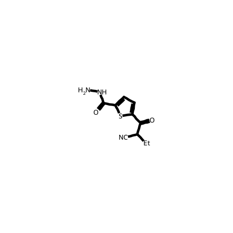 CCC(C#N)C(=O)c1ccc(C(=O)NN)s1